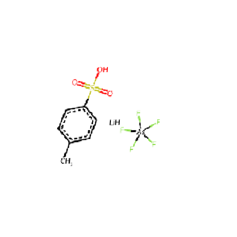 Cc1ccc(S(=O)(=O)O)cc1.F[As](F)(F)(F)F.[LiH]